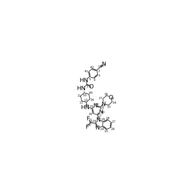 N#Cc1ccc(NC(=O)N[C@H]2CC[C@H](Nc3cc(-n4c(C(F)F)nc5ccccc54)nc(N4CCOCC4)n3)CC2)cc1